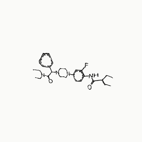 CCC(CC)C(=O)Nc1ccc(N2CCN(C(C(=O)N(CC)CC)c3ccccc3)CC2)cc1F